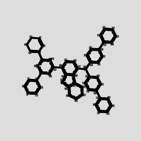 C1=CC(c2nc(-c3ccccc3)nc(-c3ccc(N(c4ccc(-c5ccccc5)cc4)c4ccc(-c5ccccc5)cc4)c4c3oc3ccccc34)n2)=CCC1